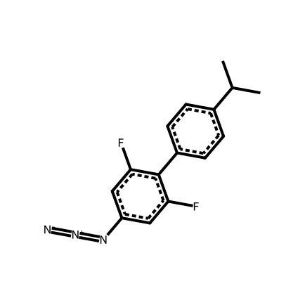 CC(C)c1ccc(-c2c(F)cc(N=[N+]=[N-])cc2F)cc1